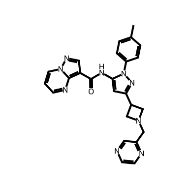 Cc1ccc(-n2nc(C3CN(Cc4cnccn4)C3)cc2NC(=O)c2cnn3cccnc23)cc1